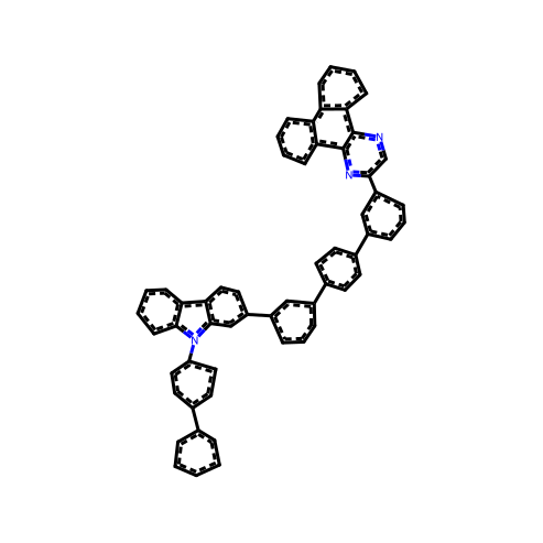 c1ccc(-c2ccc(-n3c4ccccc4c4ccc(-c5cccc(-c6ccc(-c7cccc(-c8cnc9c%10ccccc%10c%10ccccc%10c9n8)c7)cc6)c5)cc43)cc2)cc1